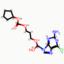 Nc1nc(Cl)c2ncn(C(O)OCCCOC(=O)OC3CCCC3)c2n1